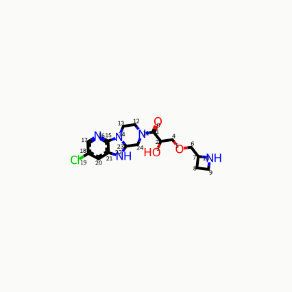 O=C(C(O)COCC1CCN1)N1CCN2c3ncc(Cl)cc3NC2C1